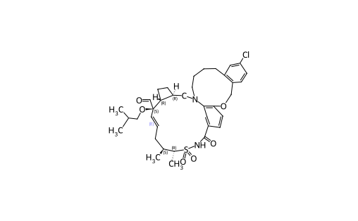 CC(C)CO[C@]1(C=O)/C=C/C[C@H](C)[C@@H](C)S(=O)(=O)NC(=O)c2ccc3c(c2)N(CCCCc2cc(Cl)ccc2CO3)C[C@@H]2CC[C@H]21